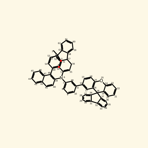 CC1(C)C2=CC(N(c3cccc(-c4ccc5c(c4)C4(c6ccccc6O5)c5ccccc5-c5ccccc54)c3)c3ccc4ccccc4c3-c3ccccc3)=CCC2c2ccccc21